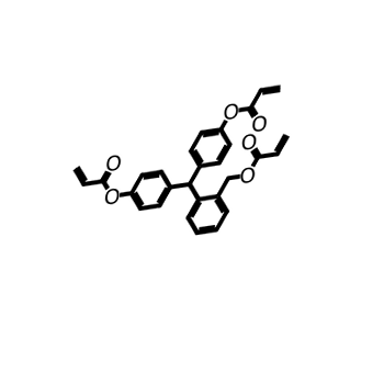 C=CC(=O)OCc1ccccc1C(c1ccc(OC(=O)C=C)cc1)c1ccc(OC(=O)C=C)cc1